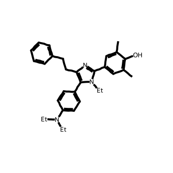 CCN(CC)c1ccc(-c2c(CCc3ccccc3)nc(-c3cc(C)c(O)c(C)c3)n2CC)cc1